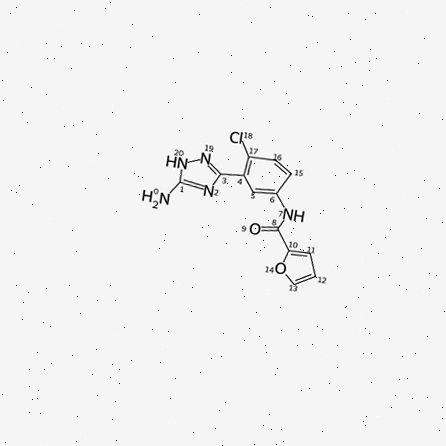 Nc1nc(-c2cc(NC(=O)c3ccco3)ccc2Cl)n[nH]1